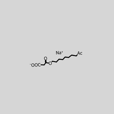 CC(=O)CCCCCCCCOC(=O)CC(=O)[O-].[Na+]